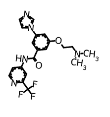 CN(C)CCOc1cc(C(=O)Nc2ccnc(C(F)(F)F)c2)cc(-n2ccnc2)c1